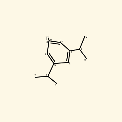 CC(C)c1[c]c(C(C)C)ccc1.[Ti]